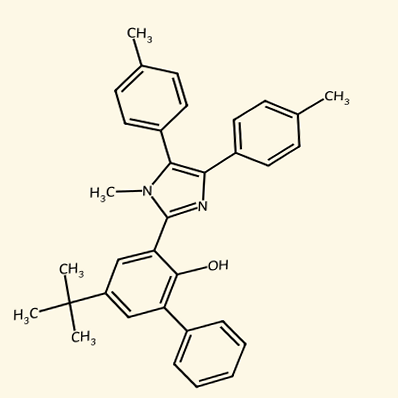 Cc1ccc(-c2nc(-c3cc(C(C)(C)C)cc(-c4ccccc4)c3O)n(C)c2-c2ccc(C)cc2)cc1